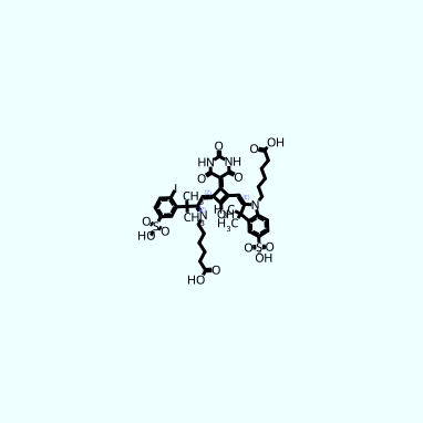 CC(C)(C(/C=C1C(O)=C(/C=C2/N(CCCCCC(=O)O)c3ccc(S(=O)(=O)O)cc3C2(C)C)C\1=C1C(=O)NC(=O)NC1=O)=N\CCCCCC(=O)O)c1cc(S(=O)(=O)O)ccc1I